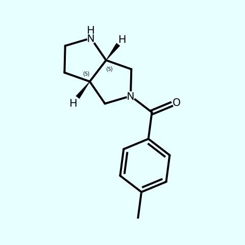 Cc1ccc(C(=O)N2C[C@@H]3CCN[C@@H]3C2)cc1